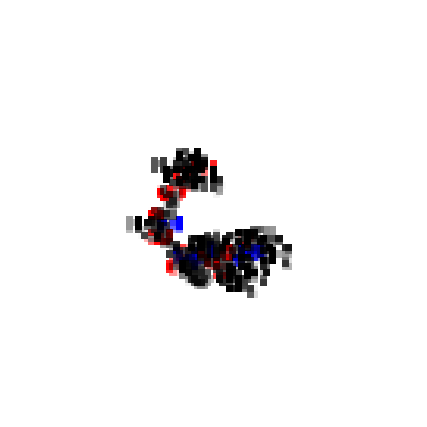 CC[C@H](C)[C@@H]([C@@H](CC(=O)N1CCC[C@H]1[C@H](OC)[C@@H](C)C(=O)N[C@@H](Cc1ccccc1)C(=O)NCCCOC(=O)[C@H](C)NC(=O)CCCC(=O)OCC(OC(CO)C(C)(C)C)OC(C)(C)C)OC)N(C)C(=O)[C@@H](NC(=O)[C@@H](NC)C(C)C)C(C)C